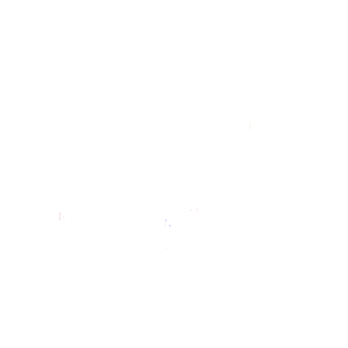 O=[N+]([O-])c1cc(Br)ccc1-c1ccc(F)cc1